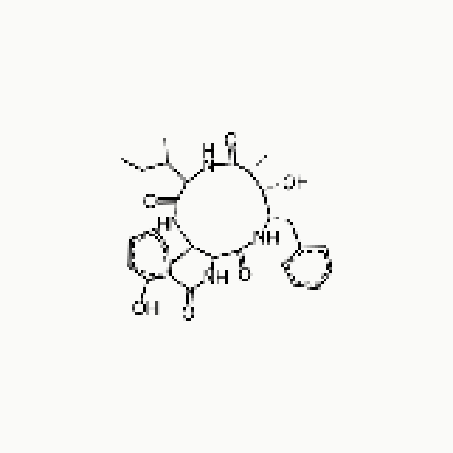 CCC(C)C1NC(=O)[C@H](C)[C@H](O)[C@H](Cc2ccccc2)NC(=O)[C@@H](NC(=O)c2ccccc2O)[C@@H](C)NC1=O